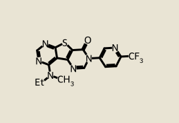 CCN(C)c1ncnc2sc3c(=O)n(-c4ccc(C(F)(F)F)nc4)cnc3c12